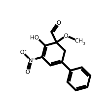 COC1(C=O)CC(c2ccccc2)=CC([N+](=O)[O-])=C1O